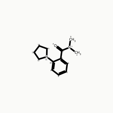 CN(C)C(=O)c1ccccc1N1CCCC1